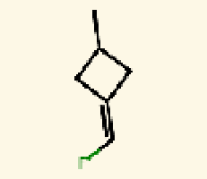 CC1CC(=CF)C1